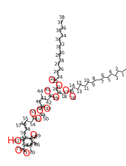 CCCCCCCCCCCCCCCC(=O)OCC(COC(=O)CCCCCCCCCCCCCCC)OC(=O)CC(C)CC(=O)OC(C)OC(=O)CC/C(C)=C/Cc1c(O)c2c(c(C)c1OC)COC2=O